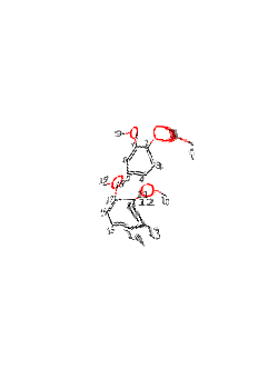 COc1ccccc1OC.COc1ccccc1OC